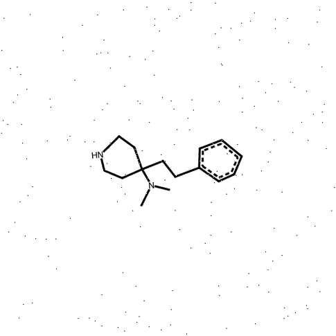 CN(C)C1(CCc2ccccc2)CCNCC1